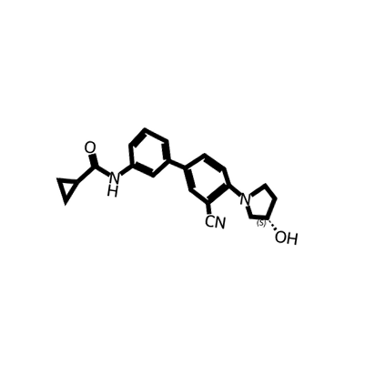 N#Cc1cc(-c2cccc(NC(=O)C3CC3)c2)ccc1N1CC[C@H](O)C1